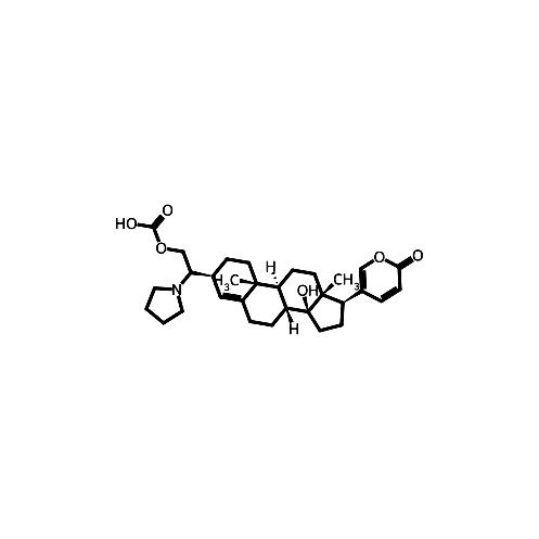 C[C@]12CC[C@H](C(COC(=O)O)N3CCCC3)C=C1CC[C@@H]1[C@@H]2CC[C@]2(C)[C@@H](c3ccc(=O)oc3)CC[C@]12O